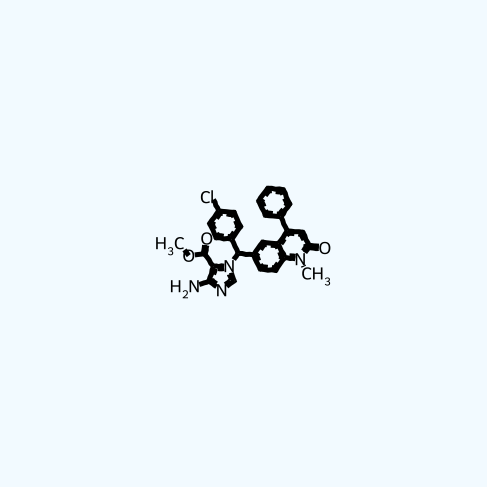 COC(=O)c1c(N)ncn1C(c1ccc(Cl)cc1)c1ccc2c(c1)c(-c1ccccc1)cc(=O)n2C